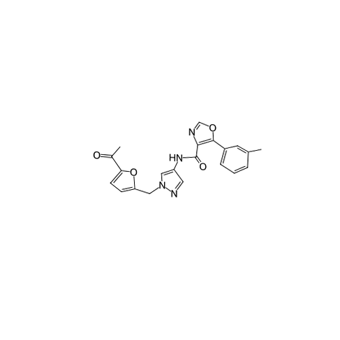 CC(=O)c1ccc(Cn2cc(NC(=O)c3ncoc3-c3cccc(C)c3)cn2)o1